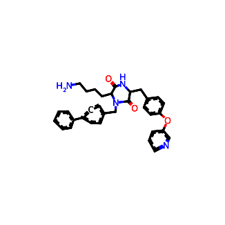 NCCCCC1C(=O)NC(Cc2ccc(Oc3cccnc3)cc2)C(=O)N1Cc1ccc(-c2ccccc2)cc1